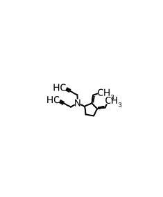 C#CCN(CC#C)C1CCC(=C/C)/C1=C\C